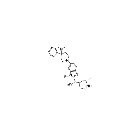 CCCC(c1nc2ccc(N3CCC(c4ccccc4)(N(C)C)CC3)nc2n1CC)N1C[C@@H](C)N[C@@H](C)C1